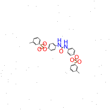 Cc1cccc(S(=O)(=O)Oc2ccc(NC(=O)Nc3ccc(OS(=O)(=O)c4cccc(C)c4)cc3)cc2)c1